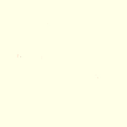 CCCC(C)[CH2][Al-]([CH2]C(C)CCC)([CH2]C(C)CCC)[CH2]C(C)CCC.CCC[NH+](C)c1cc(F)c(F)c(F)c1F